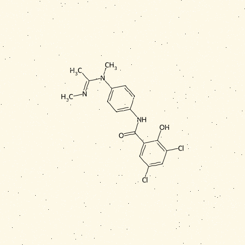 CN=C(C)N(C)c1ccc(NC(=O)c2cc(Cl)cc(Cl)c2O)cc1